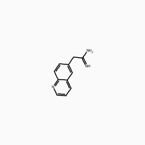 N=C(N)Cc1ccc2ncccc2c1